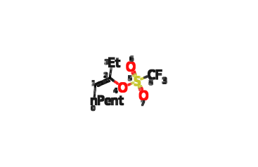 CCCCC/C=C(/CC)OS(=O)(=O)C(F)(F)F